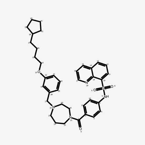 O=C(c1ccc(NS(=O)(=O)c2cccc3cccnc23)cc1)N1CCCN(Cc2cccc(OCCCCC3CCCC3)c2)CC1